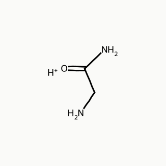 NCC(N)=O.[H+]